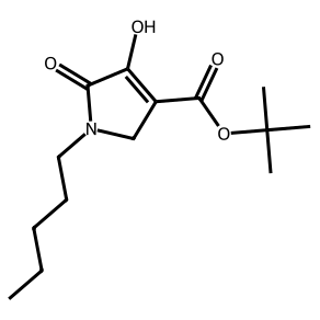 CCCCCN1CC(C(=O)OC(C)(C)C)=C(O)C1=O